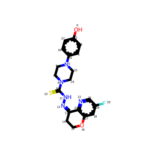 Oc1ccc(N2CCN(C(=S)N/N=C3/CCOc4cc(F)cnc43)CC2)cc1